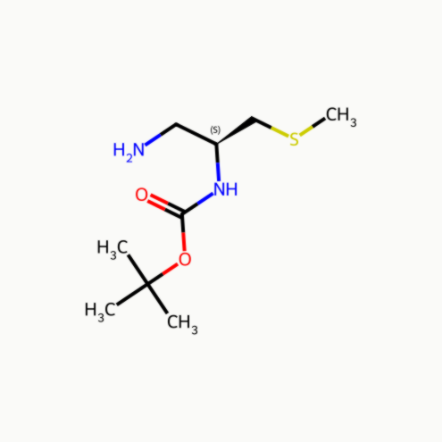 CSC[C@H](CN)NC(=O)OC(C)(C)C